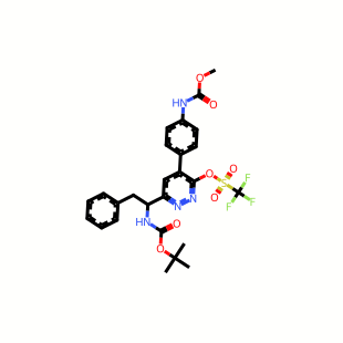 COC(=O)Nc1ccc(-c2cc(C(Cc3ccccc3)NC(=O)OC(C)(C)C)nnc2OS(=O)(=O)C(F)(F)F)cc1